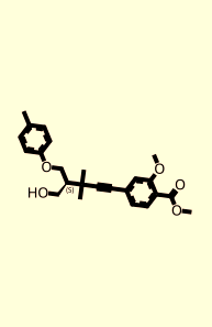 COC(=O)c1ccc(C#CC(C)(C)[C@@H](CO)COc2ccc(C)cc2)cc1OC